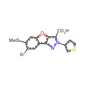 COc1cc2oc3c(C(=O)O)n(-c4ccsc4)nc3c2cc1Br